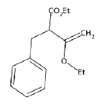 C=C(OCC)C(Cc1ccccc1)C(=O)OCC